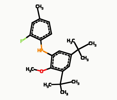 COc1c(Pc2ccc(C)cc2F)cc(C(C)(C)C)cc1C(C)(C)C